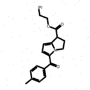 Cc1ccc(C(=O)c2ccc3n2CCC3C(=O)OCCC(C)C)cc1